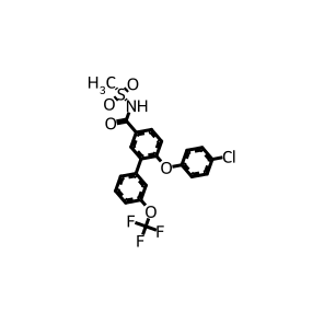 CS(=O)(=O)NC(=O)c1ccc(Oc2ccc(Cl)cc2)c(-c2cccc(OC(F)(F)F)c2)c1